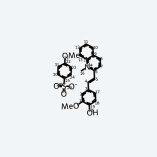 COc1cc(C=Cc2ccc3ccccc3[n+]2C)ccc1O.COc1ccc(S(=O)(=O)[O-])cc1